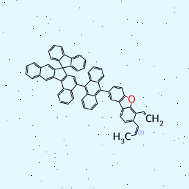 C=Cc1c(/C=C\C)ccc2c1oc1ccc(-c3c4ccccc4c(-c4cc5c(c6ccccc46)-c4cc6ccccc6cc4C54c5ccccc5-c5ccccc54)c4ccccc34)cc12